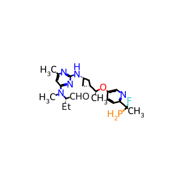 CC[C@@H](C=O)N(C)c1cc(C)nc(N[C@H]2C[C@@H]([C@@H](C)Oc3ccc(C(C)(F)P)nc3)C2)n1